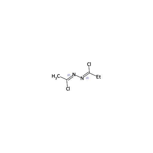 CC/C(Cl)=N/N=C(/C)Cl